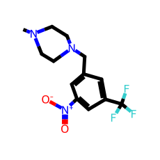 CN1CCN(Cc2cc([N+](=O)[O-])cc(C(F)(F)F)c2)CC1